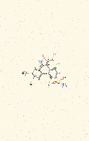 Cc1cc(-c2noc(CF)c2-c2cc(F)c(S(N)(=O)=O)cc2F)ccc1F